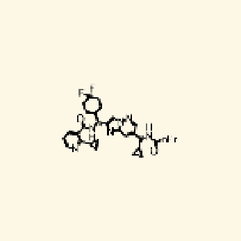 CCCC(=O)N[C@@H](c1cnn2cc([C@@H](NC(=O)c3cccnc3C3CC3)C3CCC(F)(F)CC3)nc2c1)C1CC1